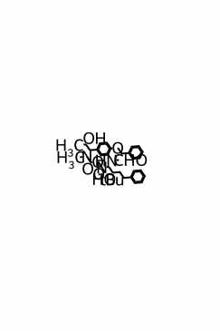 CC(O)C(c1ccc(OCc2ccccc2)cc1)N(C)C(=O)ON(OC(C)(C)C)C(NC=O)C(O)CCc1ccccc1